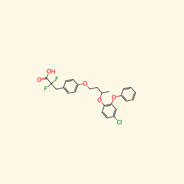 CC(CCOc1ccc(CC(F)(F)C(=O)O)cc1)Oc1ccc(Cl)cc1Oc1ccccc1